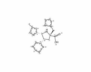 Cc1cnc([C@@H]2N[C@](Cn3cccn3)(C(=O)O)C[C@@H]2c2cnccn2)s1